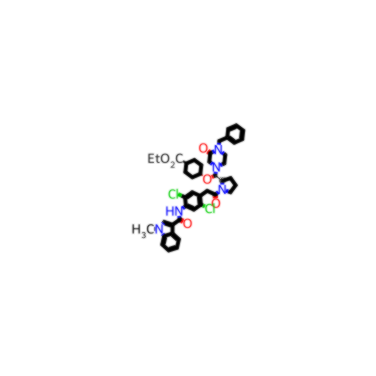 CCOC(=O)[C@H]1CC[C@H](OC([C@@H]2CCCN2C(=O)Cc2cc(Cl)c(NC(=O)c3cn(C)c4ccccc34)cc2Cl)N2CCN(Cc3ccccc3)C(=O)C2)CC1